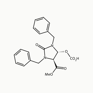 COC(=O)[C@@H]1[C@@H](OC(=O)O)N(Cc2ccccc2)C(=O)N1Cc1ccccc1